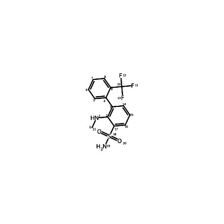 CNc1c(-c2ccccc2C(F)(F)F)cccc1S(N)(=O)=O